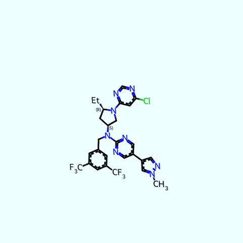 CC[C@@H]1C[C@H](N(Cc2cc(C(F)(F)F)cc(C(F)(F)F)c2)c2ncc(-c3cnn(C)c3)cn2)CN1c1cc(Cl)ncn1